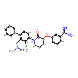 CN(C)Cc1c(-c2ccccc2)ccc(N2CCCC(Oc3cccc(C(=N)N)c3)C2=O)c1F